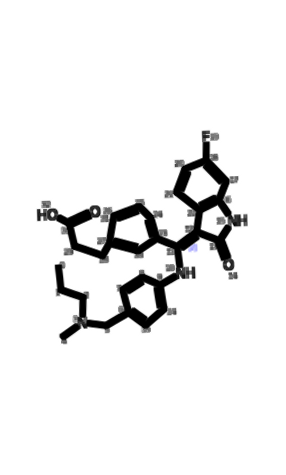 CCCN(C)Cc1ccc(N/C(=C2\C(=O)Nc3cc(F)ccc32)c2cccc(CCC(=O)O)c2)cc1